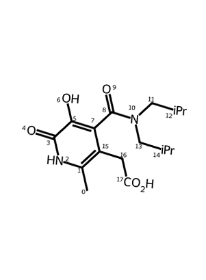 Cc1[nH]c(=O)c(O)c(C(=O)N(CC(C)C)CC(C)C)c1CC(=O)O